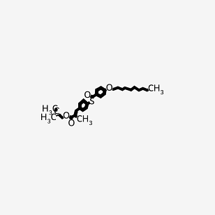 CCCCCCCCCCOc1ccc(C(=O)Sc2ccc(/C=C(\C)C(=O)OC[C@@H](C)CC)cc2)cc1